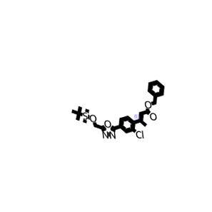 C/C(=C\C(=O)OCc1ccccc1)c1ccc(-c2nnc(CO[Si](C)(C)C(C)(C)C)o2)cc1Cl